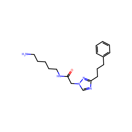 NCCCCCNC(=O)Cn1cnc(CCCc2ccccc2)n1